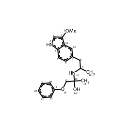 COc1c[nH]c2ccc(CC(C)NC(C)(O)COc3ccccc3)cc12